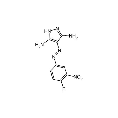 Nc1n[nH]c(N)c1N=Nc1ccc(F)c([N+](=O)[O-])c1